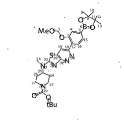 COCOc1cc(B2OC(C)(C)C(C)(C)O2)ccc1-c1cc2sc(N(C)C3CCN(C(=O)OC(C)(C)C)CC3)nc2nn1